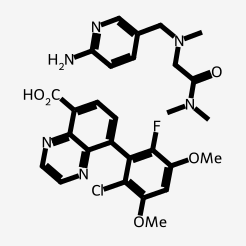 CN(CC(=O)N(C)C)Cc1ccc(N)nc1.COc1cc(OC)c(Cl)c(-c2ccc(C(=O)O)c3nccnc23)c1F